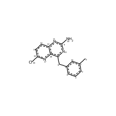 Cc1cccc(Cc2nc(N)nc3ccc(Cl)nc23)c1